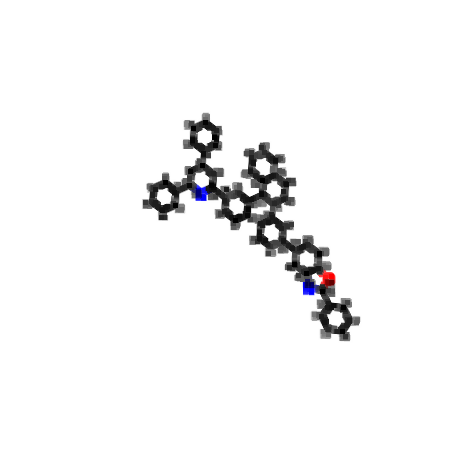 c1ccc(-c2cc(-c3ccccc3)nc(-c3cccc(-c4c(-c5cccc(-c6ccc7oc(-c8ccccc8)nc7c6)c5)ccc5ccccc45)c3)c2)cc1